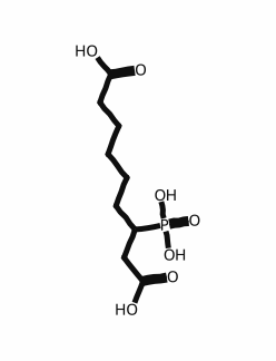 O=C(O)CCCCCC(CC(=O)O)P(=O)(O)O